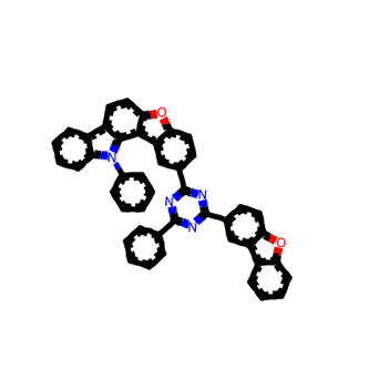 c1ccc(-c2nc(-c3ccc4oc5ccccc5c4c3)nc(-c3ccc4oc5ccc6c7ccccc7n(-c7ccccc7)c6c5c4c3)n2)cc1